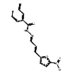 C=C/C=C(\C=C/C)C(=O)N/N=C/C=C/c1ccc([N+](=O)[O-])o1